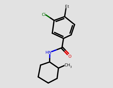 CCc1ccc(C(=O)NC2CCCCC2C)cc1Cl